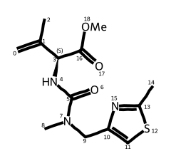 C=C(C)[C@H](NC(=O)N(C)Cc1csc(C)n1)C(=O)OC